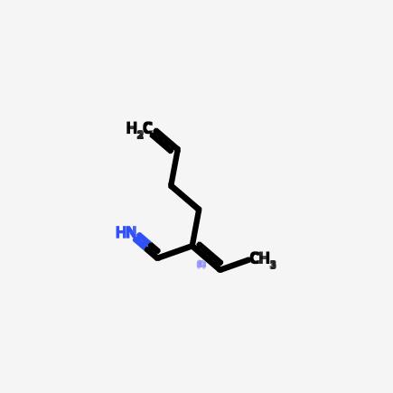 C=CCC/C(C=N)=C\C